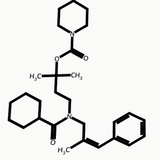 CC(=Cc1ccccc1)CN(CCC(C)(C)OC(=O)N1CCCCC1)C(=O)C1CCCCC1